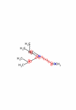 CCCCCCCCC(CCCCCC)OC(=O)OCCCCCCOCC(OCCCCCCOC(=O)OC(CCCCCC)CCCCCCCC)C(=O)N(CCCCCCCC)CCOCCOCCOCCOCCOC(=O)C1CCN(C)CC1